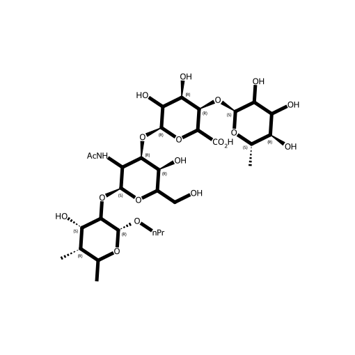 CCCO[C@@H]1OC(C)[C@H](C)[C@H](O)C1O[C@@H]1OC(CO)[C@H](O)[C@H](O[C@@H]2OC(C(=O)O)[C@H](O[C@@H]3O[C@@H](C)[C@H](O)C(O)C3O)[C@H](O)C2O)C1NC(C)=O